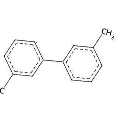 Cc1cccc(-c2[c]ccc(C(F)(F)F)c2)c1